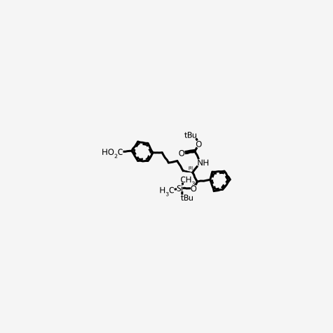 CC(C)(C)OC(=O)N[C@H](CCCCc1ccc(C(=O)O)cc1)C(O[Si](C)(C)C(C)(C)C)c1ccccc1